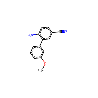 COc1cccc(-c2cc(C#N)ccc2N)c1